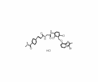 Cc1nc2c(OCc3c(Cl)ccc(N(C)C(=O)CNC(=O)C=Cc4ccc(C(=O)N(C)C)cc4)c3Cl)cccn2c1Br.Cl